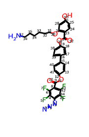 [N-]=[N+]=Nc1c(F)c(F)c(C(=O)Oc2ccc(-c3ccc(OC(=O)c4ccc(O)cc4OCCCCCCN)cc3)cc2)c(F)c1F